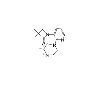 C[C@@H]1CN(c2ncccc2N2CC(C)(C)C2=O)CCN1